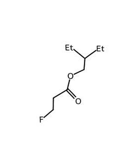 CCC(CC)COC(=O)CCF